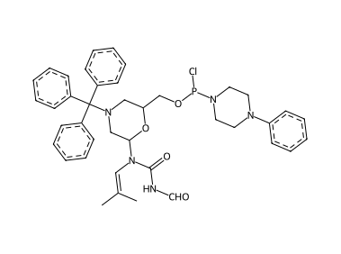 CC(C)=CN(C(=O)NC=O)C1CN(C(c2ccccc2)(c2ccccc2)c2ccccc2)CC(COP(Cl)N2CCN(c3ccccc3)CC2)O1